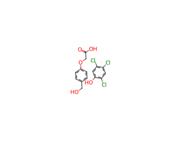 O=C(O)COc1ccc(CO)cc1.Oc1cc(Cl)c(Cl)cc1Cl